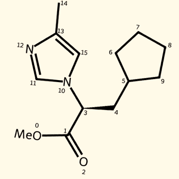 COC(=O)[C@H](CC1CCCC1)n1cnc(C)c1